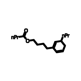 CCCC(=O)OCCCCC1=CC(CCC)CC=C1